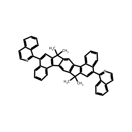 CC1(C)c2cc3c(cc2-c2c1cc(-c1nccc4ccccc14)c1ccccc21)C(C)(C)c1cc(-c2nccc4ccccc24)c2ccccc2c1-3